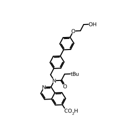 CC(C)(C)CC(=O)N(Cc1ccc(-c2ccc(OCCO)cc2)cc1)c1nccc2cc(C(=O)O)ccc12